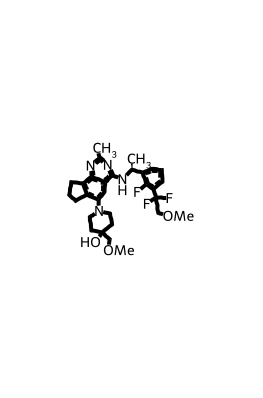 COCC1(O)CCN(c2cc3c(N[C@H](C)c4cccc(C(F)(F)COC)c4F)nc(C)nc3c3c2CCC3)CC1